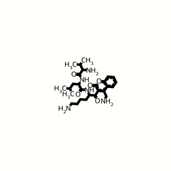 CC(C)CC(NC(=O)C(N)C(C)C)C(=O)NC(CCCCN)C(=O)c1c(CN)c2ccccc2oc1=O